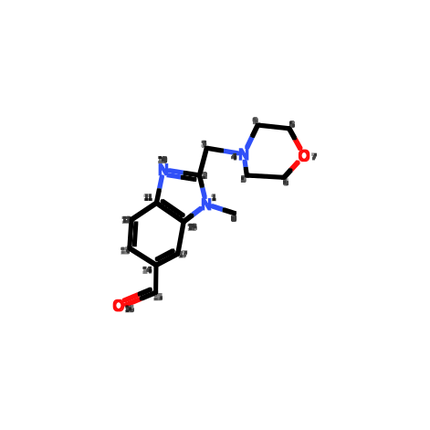 Cn1c(CN2CCOCC2)nc2ccc(C=O)cc21